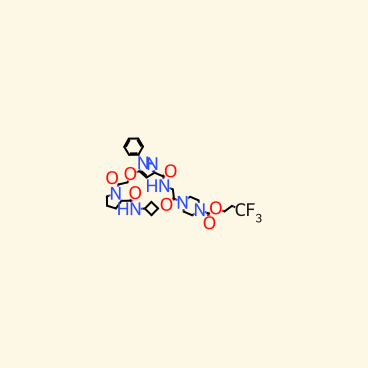 O=C(NCC(=O)N1CCN(C(=O)OCCC(F)(F)F)CC1)c1cc(OCC(=O)N2CCCC2C(=O)NC2CCC2)n(-c2ccccc2)n1